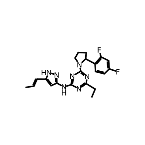 C/C=C/c1cc(Nc2nc(CC)nc(N3CCCC3c3ccc(F)cc3F)n2)n[nH]1